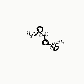 C=Cc1ccccc1OC(=O)c1cccc(C(=O)Oc2ccccc2C=C)c1